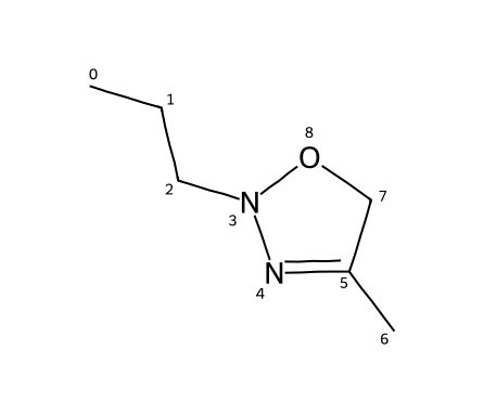 CCCN1N=C(C)CO1